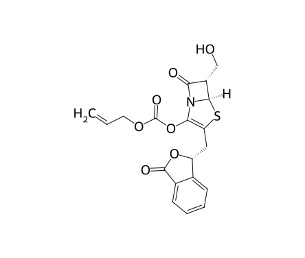 C=CCOC(=O)OC1=C(C[C@H]2OC(=O)c3ccccc32)S[C@@H]2[C@@H](CO)C(=O)N12